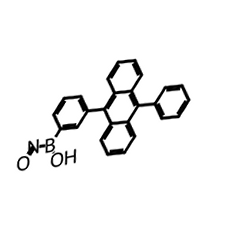 O=NB(O)c1cccc(-c2c3ccccc3c(-c3ccccc3)c3ccccc23)c1